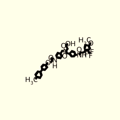 COc1ccc(CC(=O)Nc2ccc(C(=O)N(CC(=O)O)Cc3ccc(NC(=O)COc4ccc(-c5ccc(C)cc5)cc4)cc3)cc2)c(C(F)(F)F)c1